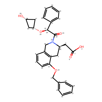 O=C(O)C[C@H]1Cc2c(cccc2OCc2ccccc2)CN1C(=O)[C@@H](O[C@H]1C[C@@H](O)C1)c1ccccc1